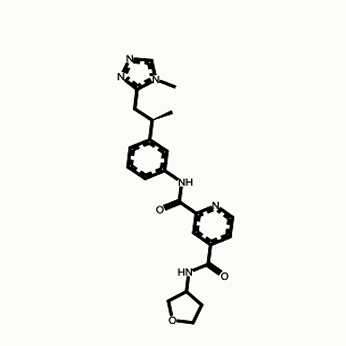 C[C@H](Cc1nncn1C)c1cccc(NC(=O)c2cc(C(=O)NC3CCOC3)ccn2)c1